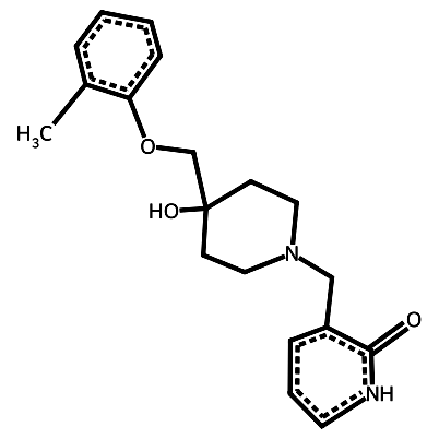 Cc1ccccc1OCC1(O)CCN(Cc2ccc[nH]c2=O)CC1